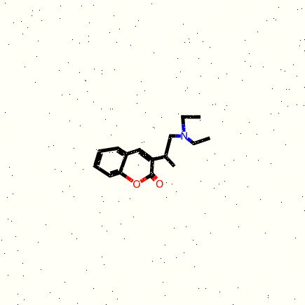 CCN(CC)CC(C)c1cc2ccccc2oc1=O